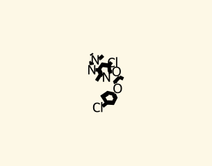 CCN(C)/C=N\c1cc(Cl)c(OC(C)COc2ccc(Cl)cc2)nc1C